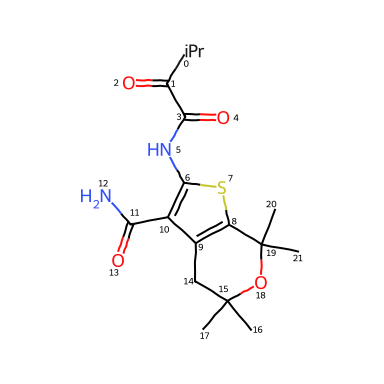 CC(C)C(=O)C(=O)Nc1sc2c(c1C(N)=O)CC(C)(C)OC2(C)C